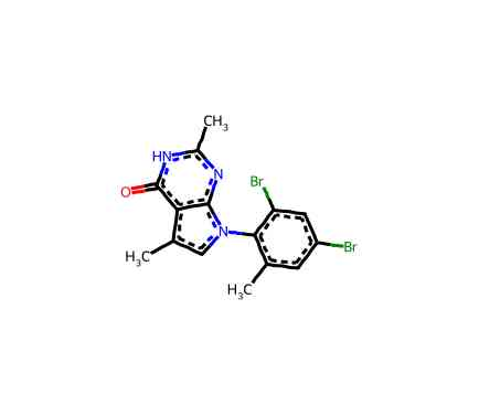 Cc1nc2c(c(C)cn2-c2c(C)cc(Br)cc2Br)c(=O)[nH]1